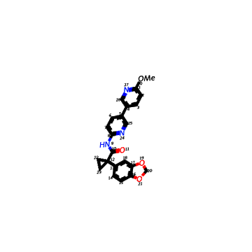 COc1ccc(-c2ccc(NC(=O)C3(c4ccc5c(c4)OCO5)CC3)nc2)cn1